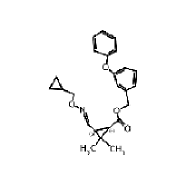 CC1(C)[C@H](C(=O)OCc2cccc(Oc3ccccc3)c2)[C@@H]1C=NOCC1CC1